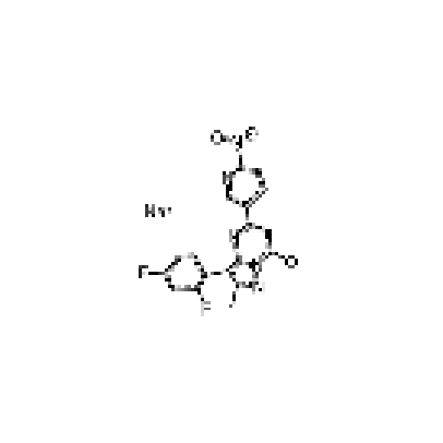 Cc1nn2c([O-])cc(-c3ccc([N+](=O)[O-])nc3)nc2c1-c1ccc(F)cc1F.[Na+]